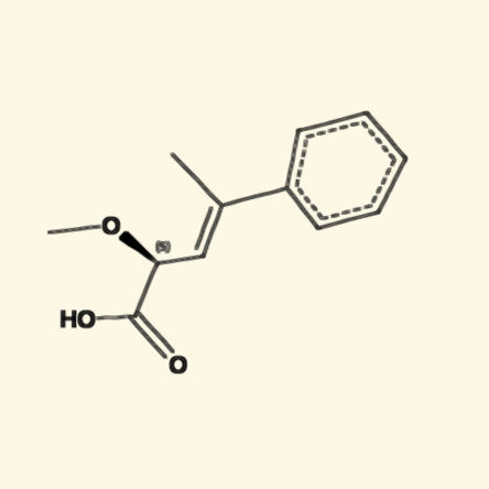 CO[C@@H](C=C(C)c1ccccc1)C(=O)O